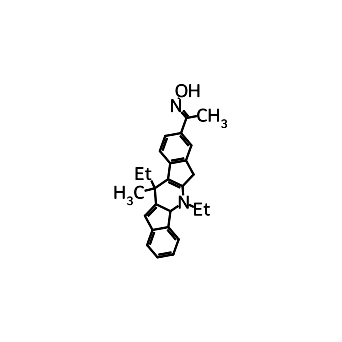 CCN1C2=C(c3ccc(C(C)=NO)cc3C2)C(C)(CC)C2=Cc3ccccc3C21